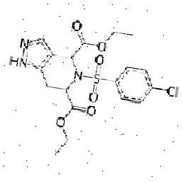 CCOC(=O)C1Cc2[nH]ncc2C(C(=O)OCC)N1S(=O)(=O)c1ccc(Cl)cc1